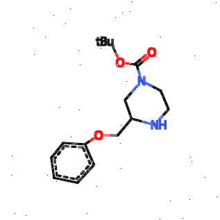 CC(C)(C)OC(=O)N1CCNC(COc2ccccc2)C1